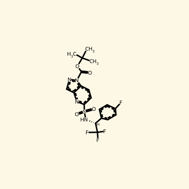 CC(C)(C)OC(=O)n1ncc2nc(S(=O)(=O)N[C@H](c3ccc(F)cc3)C(F)(F)F)ccc21